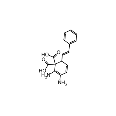 NC1=C(N)C(C(=O)O)(C(=O)O)C(C=Cc2ccccc2)C=C1